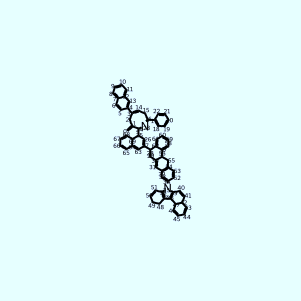 C=C1C/C(c2ccc3ccccc3c2)=C\C/C(c2ccccc2)=N\C1C1C=C(C2CC3=Cc4cc(-n5c6c(c7c5C=CC5C=CC=CC75)CCC=C6)ccc4CC3c3ccccc32)C=C2C=CC=CC21